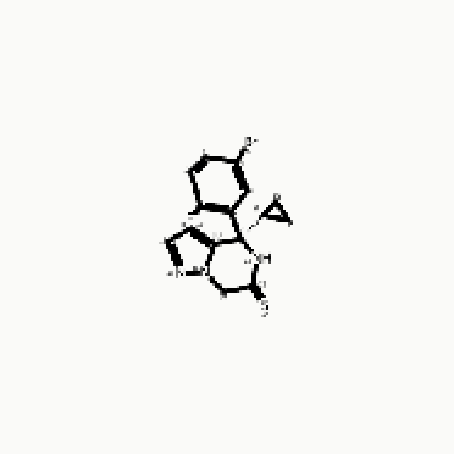 Fc1ccc(Br)cc1[C@@]1(C2CC2)NC(=S)Cn2nccc21